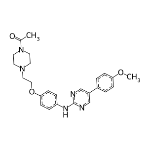 COc1ccc(-c2cnc(Nc3ccc(OCCN4CCN(C(C)=O)CC4)cc3)nc2)cc1